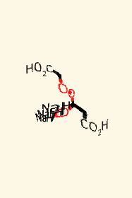 O=C(O)COOC(=O)CC(=O)O.[NaH].[NaH].[NaH]